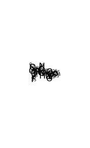 CCOC(=O)c1cc(C#N)c(N2CCC(C(=O)NS(=O)(=O)Cc3ccccc3)CC2)nc1OCCF